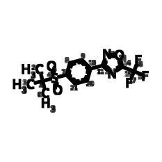 CC(C)(C)S(=O)(=O)c1ccc(-c2noc(C(F)(F)F)n2)cc1